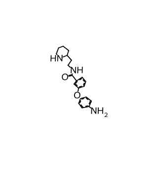 Nc1ccc(Oc2cccc(C(=O)NCCC3CCCCN3)c2)cc1